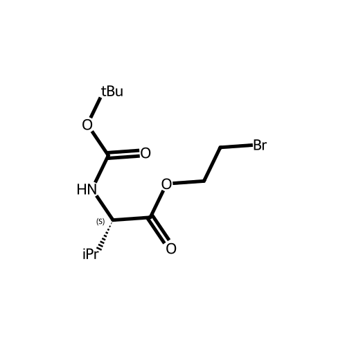 CC(C)[C@H](NC(=O)OC(C)(C)C)C(=O)OCCBr